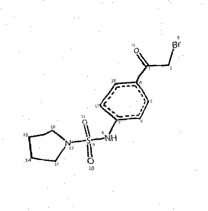 O=C(CBr)c1ccc(NS(=O)(=O)N2CCCC2)cc1